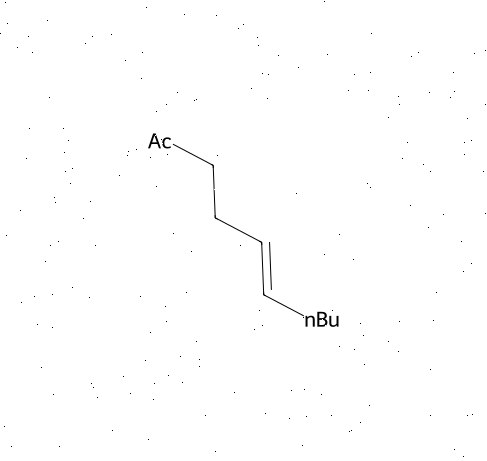 CCCCC=CCCC(C)=O